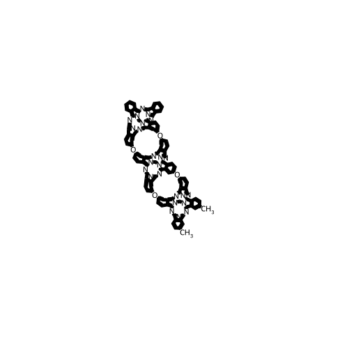 Cc1ccc2c(c1)C1=NC/2=N\c2c3ccc4cc3c3nc5nc(c6ccc(cc56)oc5ccc6/c7n8c(nc9n/c(c%10ccc(cc9%10)o4)=N\c4c9ccc%10cc9c(nc9nc(c%11ccc(cc9%11)oc9ccc%11/c%12n%13c(nc%14n/c(c%15ccc(cc%14%15)o%10)=N\c%10c%14ccccc%14c(n%10C%13)/N=C%10N=C(/N=%12)c%12ccccc%12\%10)c%11c9)/N=7)n4C8)c6c5)/N=c4/c5ccc(C)cc5/c(n4Cn23)=N/1